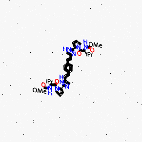 COC(=O)N[C@H](C(=O)N1CCC[C@H]1c1nc(/C=C/c2ccc(/C=C/c3cnc([C@@H]4CCCN4C(=O)[C@@H](NC(=O)OC)C(C)C)[nH]3)cc2)c[nH]1)C(C)C